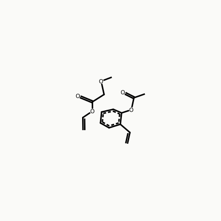 C=COC(=O)COC.C=Cc1ccccc1OC(C)=O